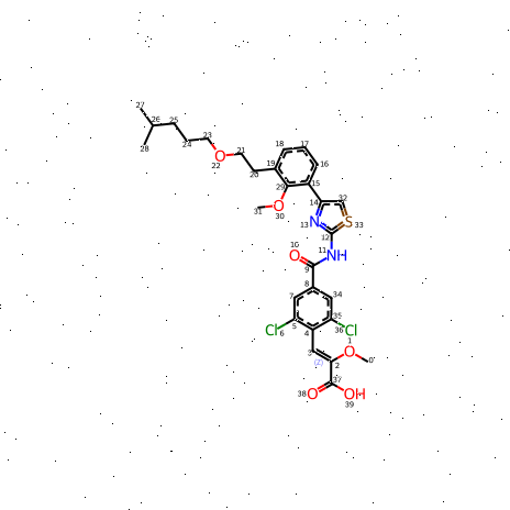 CO/C(=C\c1c(Cl)cc(C(=O)Nc2nc(-c3cccc(CCOCCCC(C)C)c3OC)cs2)cc1Cl)C(=O)O